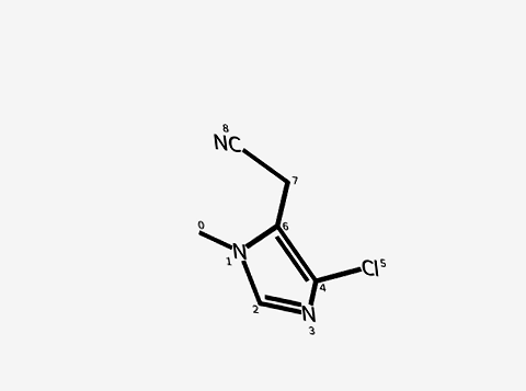 Cn1cnc(Cl)c1CC#N